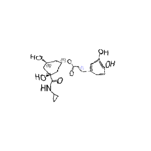 O=C(/C=C/c1ccc(O)c(O)c1)O[C@H]1C[C@H](O)C[C@@](O)(C(=O)NC2CC2)C1